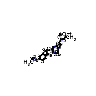 C=C/C=C(\OCCCCCCCC)c1cc2/c(s1)=C\C/C(SC1c3ccc(S/C=C\C)cc3SC1C)=C\C/C=2